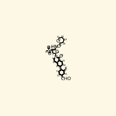 C[C@@](CCn1ccc2cc(-c3ccc(C=O)cc3F)ccc2c1=O)(C(=O)NOC1CCCCO1)S(C)(=O)=O